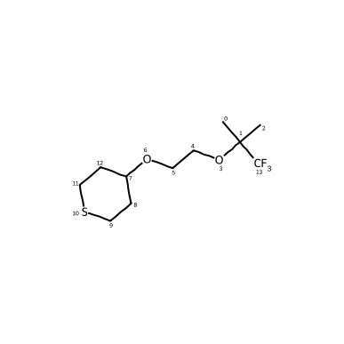 CC(C)(OCCOC1CCSCC1)C(F)(F)F